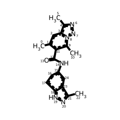 Cc1cc2c(C)nnn2c(C)c1C(=O)Nc1ccc2[nH]nc(C)c2c1